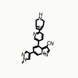 Cn1cc(-c2cc(-c3ccc(N4C5CCC4CNC5)nc3)c3c(C#N)cnn3c2)cn1